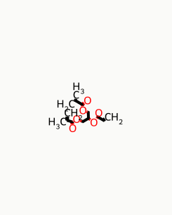 C=CC(=O)OC(COC(=O)C(=C)C)COC(=O)C(=C)C